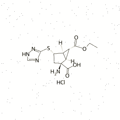 CCOC(=O)[C@H]1[C@H]2[C@@H]1[C@](N)(C(=O)O)C[C@@H]2Sc1nc[nH]n1.Cl